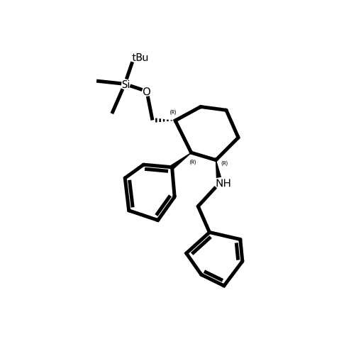 CC(C)(C)[Si](C)(C)OC[C@@H]1CCC[C@@H](NCc2ccccc2)[C@H]1c1ccccc1